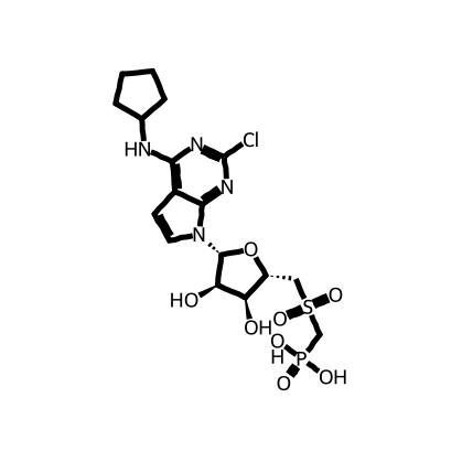 O=P(O)(O)CS(=O)(=O)C[C@H]1O[C@@H](n2ccc3c(NC4CCCC4)nc(Cl)nc32)[C@H](O)[C@@H]1O